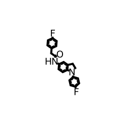 O=C(Cc1ccc(F)cc1)Nc1ccc2c(c1)CCN2c1ccc(F)cc1